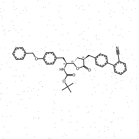 CC(C)(C)OC(=O)N[C@@H](Cc1ccc(OCc2ccccc2)cc1)[C@@H]1C[C@@H](Cc2ccc(-c3ccccc3C#N)cc2)C(=O)O1